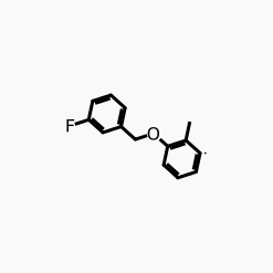 Cc1[c]cccc1OCc1cccc(F)c1